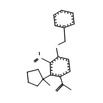 CC1(c2c(C(=O)O)ccc(OCc3ccccc3)c2[N+](=O)[O-])CCCC1